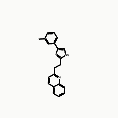 Fc1cccc(-c2c[nH]c(CCc3ccc4ccccc4n3)n2)c1